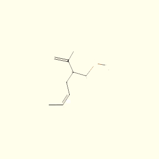 C=C(C)C(C/C=C\C)CSCC